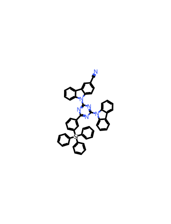 N#Cc1ccc2c(c1)c1ccccc1n2-c1nc(-c2cccc([Si](c3ccccc3)(c3ccccc3)c3ccccc3)c2)nc(-n2c3ccccc3c3ccccc32)n1